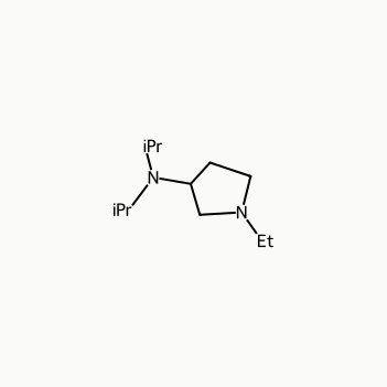 CCN1CCC(N(C(C)C)C(C)C)C1